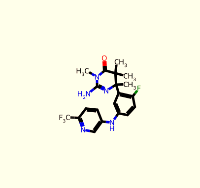 CN1C(=O)C(C)(C)C(C)(c2cc(Nc3ccc(C(F)(F)F)nc3)ccc2F)N=C1N